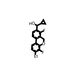 CCc1ccc2c(c1F)OCc1c-2ccc(C(O)C2CC2)c1F